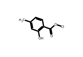 Cc1ccc(C(=O)OCl)c(O)c1